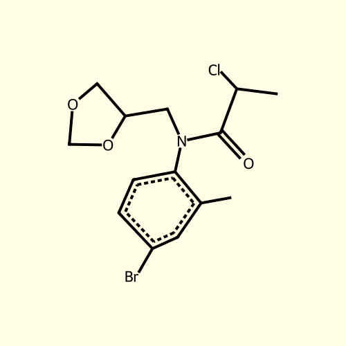 Cc1cc(Br)ccc1N(CC1COCO1)C(=O)C(C)Cl